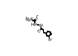 CNC(=S)NNC(=O)CCc1cccc(Br)c1